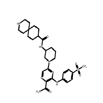 CS(=O)(=O)c1ccc(Nc2nc(N3CCCC(NC(=O)C4CCC5(CCNCC5)CC4)C3)cnc2C(N)=O)cc1